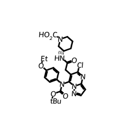 CCOc1ccc(N(C(=O)OC(C)(C)C)c2c(CC(=O)N[C@H]3CCCN(C(=O)O)C3)c(Cl)nc3ccnn23)cc1